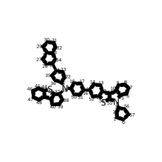 c1ccc(-n2c3ccccc3c3c4ccc(-c5ccc(N(c6ccc(-c7ccc8ccccc8c7)cc6)c6cccc7c6sc6ccccc67)cc5)cc4sc32)cc1